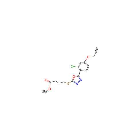 C#CCOc1ccc(-c2nnc(SCCCC(=O)OC(C)(C)C)o2)c(Cl)c1